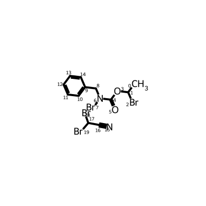 CC(Br)OC(=O)N(Br)Cc1ccccc1.N#CC(Br)Br